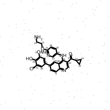 COc1cc(-c2ccc3ncc(C(=O)C4CC4)c(Nc4ccc(OCCN)nc4)c3c2)cc(Cl)c1O